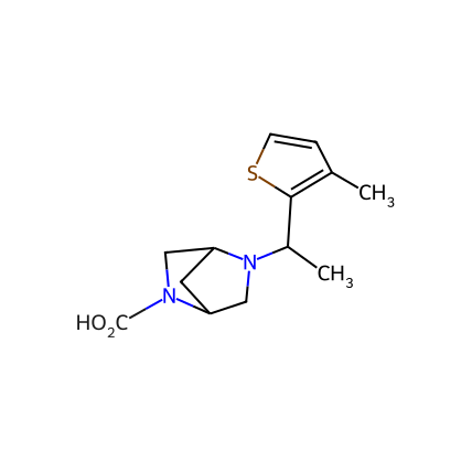 Cc1ccsc1C(C)N1CC2CC1CN2C(=O)O